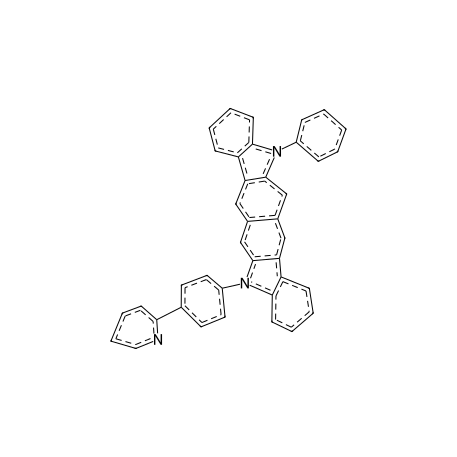 c1ccc(-n2c3ccccc3c3cc4cc5c(cc4cc32)c2ccccc2n5-c2ccc(-c3ccccn3)cc2)cc1